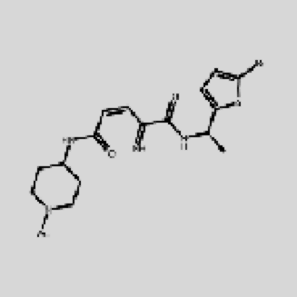 CC(=O)N1CCC(NC(=O)/C=C\C(=N)C(=O)N[C@H](C)c2ccc(Br)s2)CC1